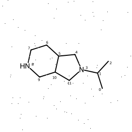 CC(C)N1CC2CCNCC2C1